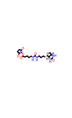 O=C(NCCCCC(=O)ON1C(=O)CCC1=O)NCCCC[C@@H]1SC[C@@H]2NC(=O)N[C@@H]21